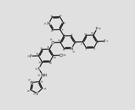 Fc1ccc(-c2cc(-c3cccnc3)c(Oc3cc(F)c(SNc4cscn4)cc3Cl)cn2)cc1F